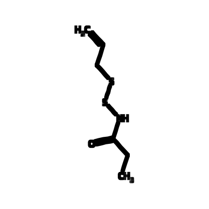 C=CCSSNC(=O)CC